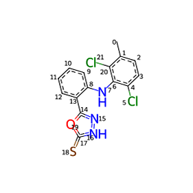 Cc1ccc(Cl)c(Nc2ccccc2-c2n[nH]c(=S)o2)c1Cl